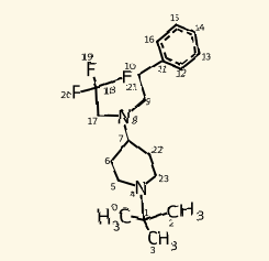 CC(C)(C)N1CCC(N(CCc2ccccc2)CC(F)(F)F)CC1